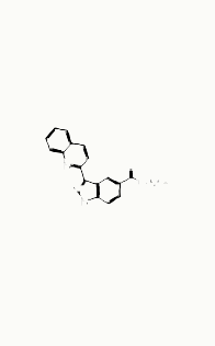 COC(=O)c1ccc2[nH]nc(-c3ccc4ccccc4n3)c2c1